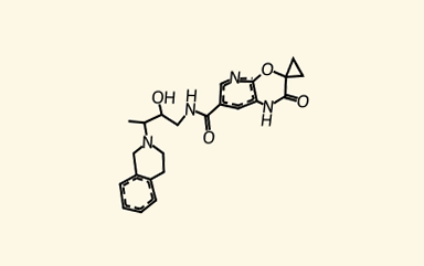 CC(C(O)CNC(=O)c1cnc2c(c1)NC(=O)C1(CC1)O2)N1CCc2ccccc2C1